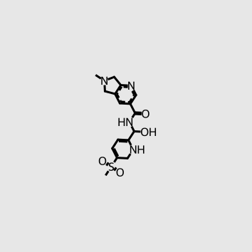 CN1Cc2cc(C(=O)NC(O)C3=CC=C(S(C)(=O)=O)CN3)cnc2C1